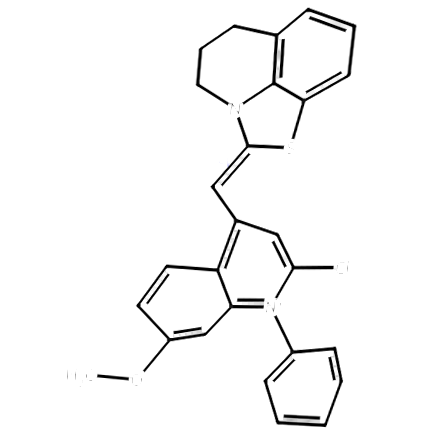 COc1ccc2c(/C=C3\Sc4cccc5c4N3CCC5)cc(Cl)[n+](-c3ccccc3)c2c1